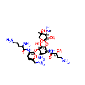 CN[C@@H]1[C@@H](O)[C@@H](O[C@@H]2[C@@H](O)[C@H](O[C@H]3OC(CN)=CC[C@H]3NC(=O)C(N)CCCN)[C@@H](N)C[C@H]2NC(=O)[C@@H](O)CCN)OC[C@]1(C)O